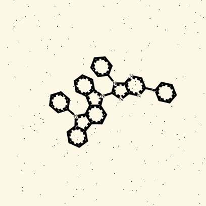 c1ccc(-c2cnc3c(n2)nc(-n2c4ccccc4c4c2ccc2c5ccccc5n(-c5ccccc5)c24)n3-c2ccccc2)cc1